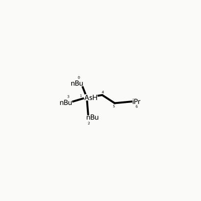 CCCC[AsH](CCCC)(CCCC)CCC(C)C